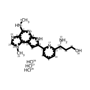 CNc1nc2[nH]c(-c3cccc([C@H](N)CCO)n3)cc2c2c1ncn2C.Cl.Cl.Cl